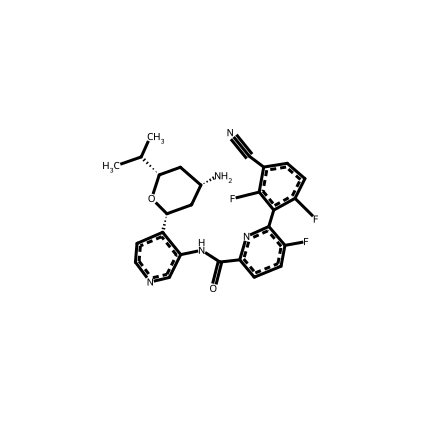 CC(C)[C@@H]1C[C@H](N)C[C@H](c2ccncc2NC(=O)c2ccc(F)c(-c3c(F)ccc(C#N)c3F)n2)O1